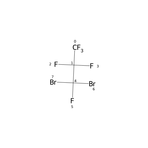 FC(F)(F)C(F)(F)C(F)(Br)Br